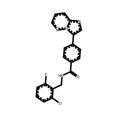 O=C(NCc1c(F)cccc1Cl)c1ccc(-c2cnc3cccnn23)cc1